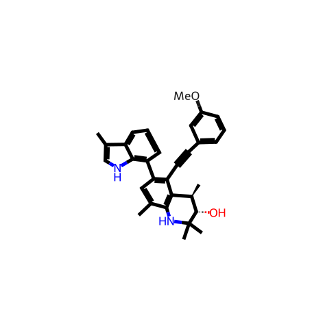 COc1cccc(C#Cc2c(-c3cccc4c(C)c[nH]c34)cc(C)c3c2[C@@H](C)[C@H](O)C(C)(C)N3)c1